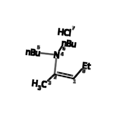 CCC=C(C)N(CCCC)CCCC.Cl